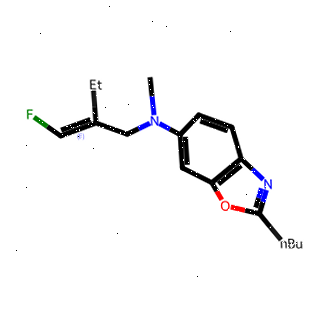 CCCCc1nc2ccc(N(C)C/C(=C/F)CC)cc2o1